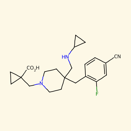 N#Cc1ccc(CC2(CNC3CC3)CCN(CC3(C(=O)O)CC3)CC2)c(F)c1